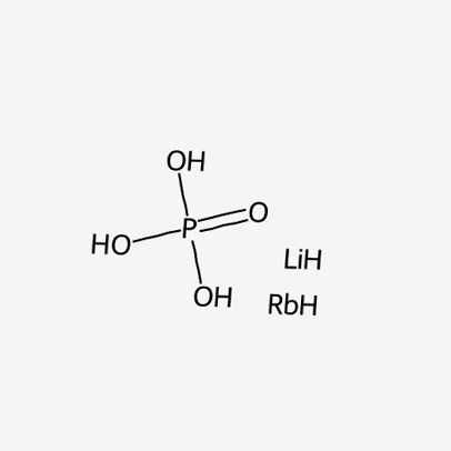 O=P(O)(O)O.[LiH].[RbH]